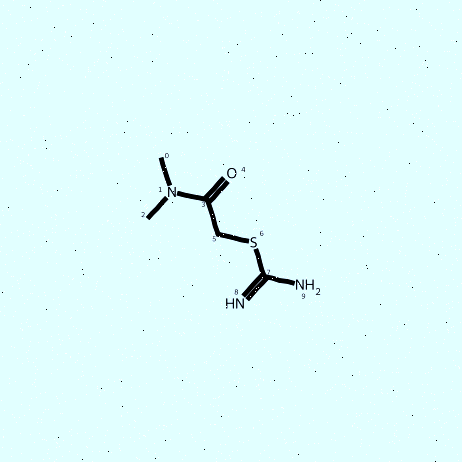 CN(C)C(=O)CSC(=N)N